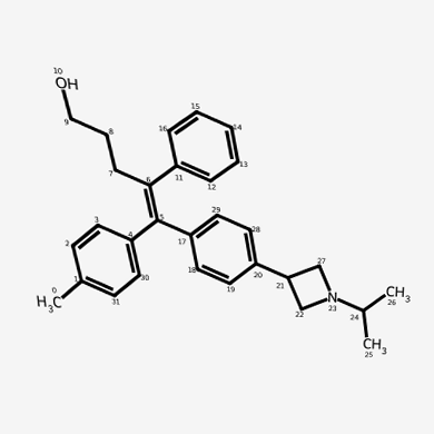 Cc1ccc(/C(=C(\CCCO)c2ccccc2)c2ccc(C3CN(C(C)C)C3)cc2)cc1